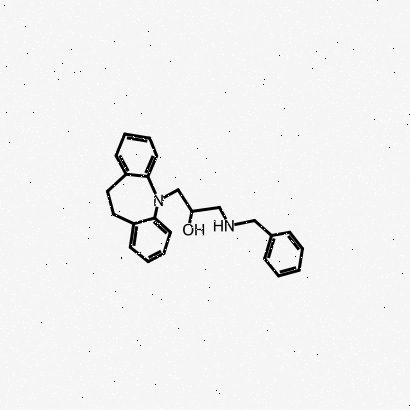 OC(CNCc1ccccc1)CN1c2ccccc2CCc2ccccc21